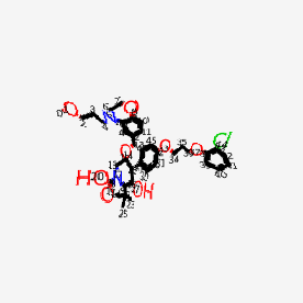 COCCCN1CCOc2ccc(CO[C@H]3CN(C(=O)O)C(C(C)(C)C)[C@@H](O)[C@@H]3c3ccc(OCCCOc4ccccc4Cl)cc3)cc21